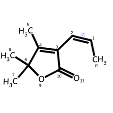 C/C=C\C1=C(C)C(C)(C)OC1=O